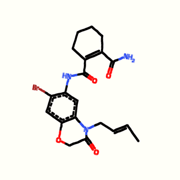 CC=CCN1C(=O)COc2cc(Br)c(NC(=O)C3=C(C(N)=O)CCCC3)cc21